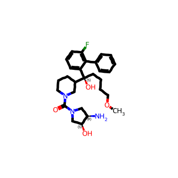 COCCCC[C@@](O)(c1cccc(F)c1-c1ccccc1)C1CCCN(C(=O)N2C[C@@H](N)[C@@H](O)C2)C1